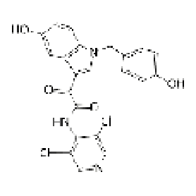 O=C(Nc1c(Cl)cncc1Cl)C(=O)c1cn(Cc2ccc(O)cc2)c2ccc(O)cc12